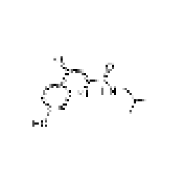 CC(C)CNC(=O)c1cc(=O)c2ccc(O)cc2o1